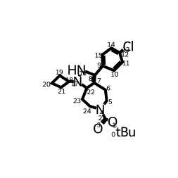 CC(C)(C)OC(=O)N1CCC2=C(c3ccc(Cl)cc3)NN(C3CCC3)C2CC1